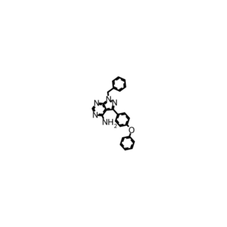 Nc1ncnc2c1c(-c1ccc(Oc3ccccc3)cc1)nn2Cc1ccccc1